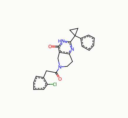 O=C(Cc1ccccc1Cl)N1CCc2nc(C3(c4ccccc4)CC3)[nH]c(=O)c2C1